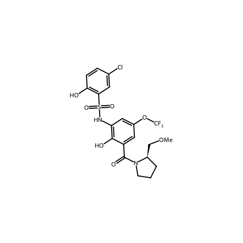 COC[C@H]1CCCN1C(=O)c1cc(OC(F)(F)F)cc(NS(=O)(=O)c2cc(Cl)ccc2O)c1O